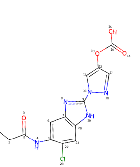 CCC(=O)Nc1cc2nc(-n3cc(OC(=O)O)cn3)[nH]c2cc1Cl